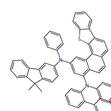 CC1(C)c2ccccc2-c2cc(N(c3ccccc3)c3cc(N(c4ccccc4)c4ccccc4-c4ccccc4)c4ccc5ccc6c7ccccc7sc6c5c4c3)ccc21